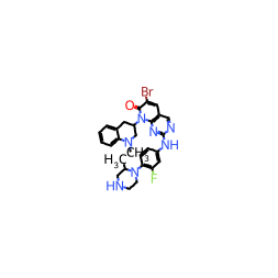 CC1CNCCN1c1ccc(Nc2ncc3cc(Br)c(=O)n(C4Cc5ccccc5N(C)C4)c3n2)cc1F